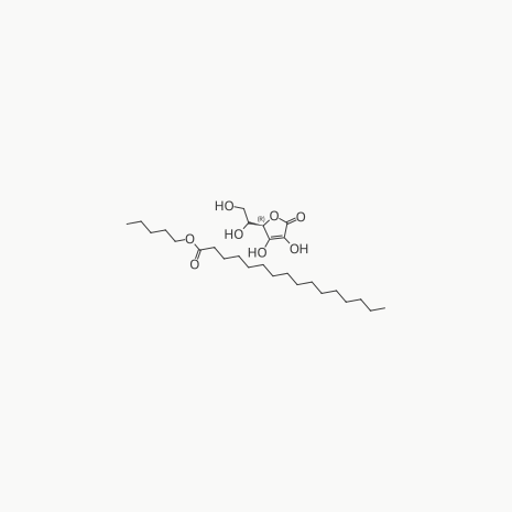 CCCCCCCCCCCCCCCC(=O)OCCCCC.O=C1O[C@H](C(O)CO)C(O)=C1O